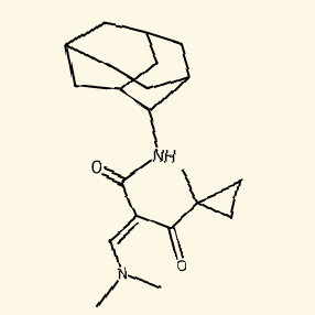 CN(C)C=C(C(=O)NC1C2CC3CC(C2)CC1C3)C(=O)C1(C)CC1